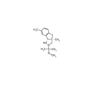 COC(C)(C)OC[C@]1(C)Cc2ccc(C)cc2[C@H]1O